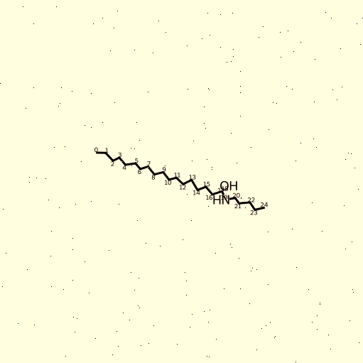 CCCCCCCCCCCCCCCCCC(O)NCCCCC